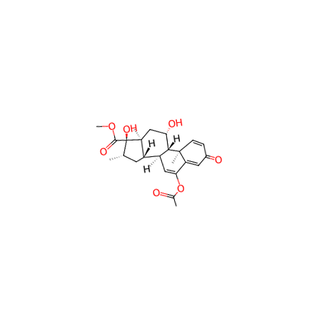 COC(=O)[C@@]1(O)[C@@H](C)C[C@H]2[C@@H]3C=C(OC(C)=O)C4=CC(=O)C=C[C@]4(C)[C@H]3[C@@H](O)C[C@@]21C